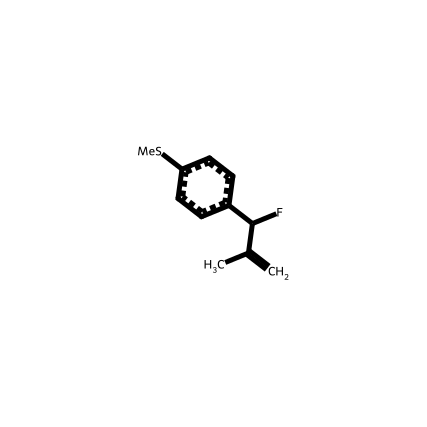 C=C(C)C(F)c1ccc(SC)cc1